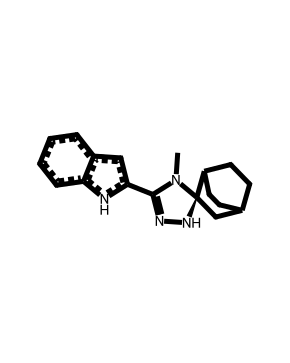 CN1C(c2cc3ccccc3[nH]2)=NN[C@@]12CC1CCC2CC1